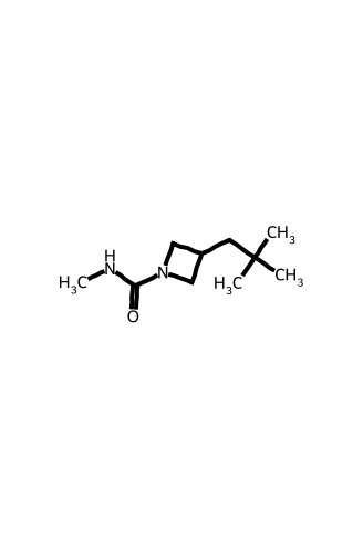 CNC(=O)N1CC(CC(C)(C)C)C1